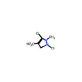 CN1C(Cl)=C(C(=O)O)CN1Cl